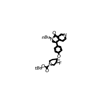 CCCCn1cc(-c2ccc(O[C@H]3CCN(C(=O)OC(C)(C)C)C[C@@H]3F)cc2)c2ccncc2c1=O